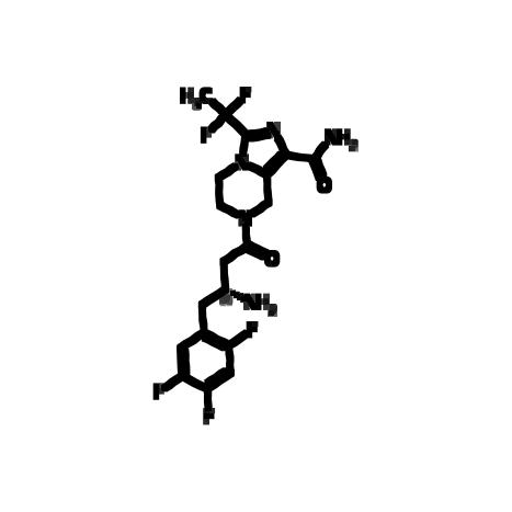 CC(F)(F)c1nc(C(N)=O)c2n1CCN(C(=O)C[C@H](N)Cc1cc(F)c(F)cc1F)C2